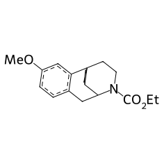 CCOC(=O)N1CCC23CCCCC2C1Cc1ccc(OC)cc13